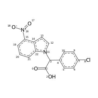 O=C(O)C(c1ccc(Cl)cc1)n1ccc2c([N+](=O)[O-])cccc21